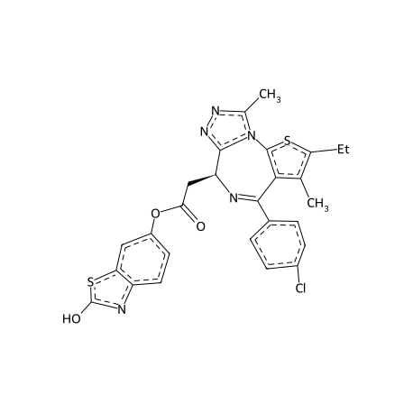 CCc1sc2c(c1C)C(c1ccc(Cl)cc1)=N[C@@H](CC(=O)Oc1ccc3nc(O)sc3c1)c1nnc(C)n1-2